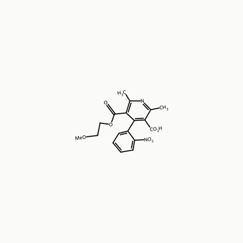 COCCOC(=O)c1c(C)nc(C)c(C(=O)O)c1-c1ccccc1[N+](=O)[O-]